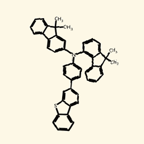 CC1(C)c2ccccc2-c2ccc(N(c3ccc(-c4ccc5c(c4)sc4ccccc45)cc3)c3cccc4c3-c3ccccc3C4(C)C)cc21